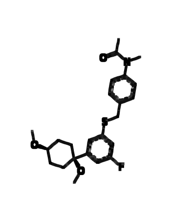 CO[C@H]1CC[C@](OC)(c2cc(F)cc(SCc3ccc(N(C)C(C)=O)cc3)c2)CC1